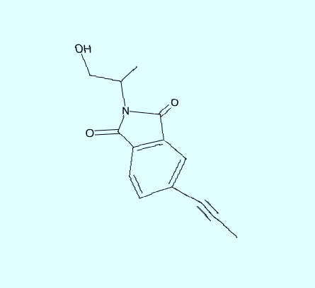 CC#Cc1ccc2c(c1)C(=O)N(C(C)CO)C2=O